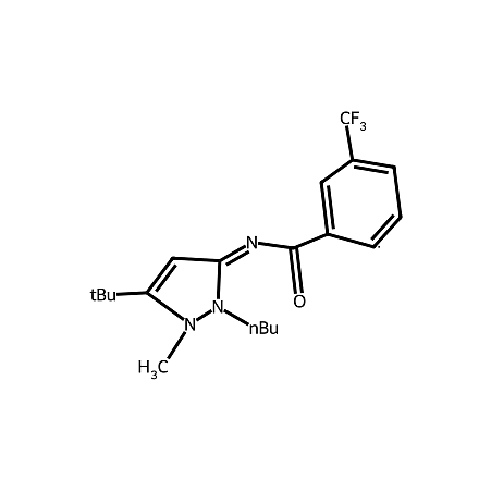 CCCCn1c(=NC(=O)c2[c]ccc(C(F)(F)F)c2)cc(C(C)(C)C)n1C